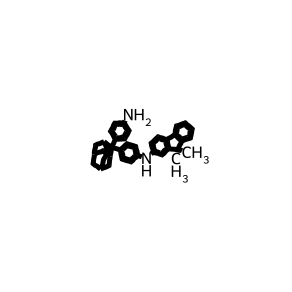 CC1(C)c2ccccc2-c2ccc(Nc3ccc(C4(c5ccc(N)cc5)C5CC6CC(C5)CC4C6)cc3)cc21